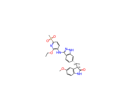 CCOc1nc(S(C)(=O)=O)ccc1Nc1n[nH]c2cc([C@@H]3C[C@@]34C(=O)Nc3ccc(OC)cc34)ccc12